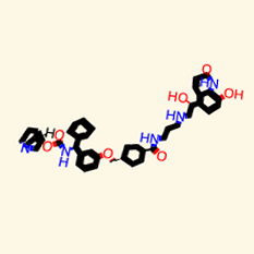 O=C(N[C@@H](c1ccccc1)c1cccc(OC[C@H]2CC[C@H](C(=O)NCCCNC[C@H](O)c3ccc(O)c4[nH]c(=O)ccc34)CC2)c1)O[C@H]1CN2CCC1CC2